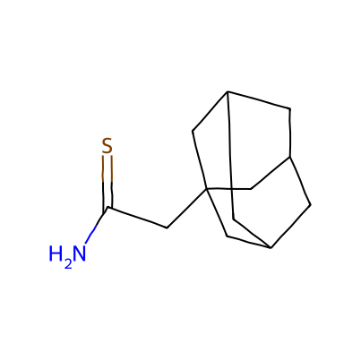 NC(=S)CC12CC3CC(CC(C3)C1)C2